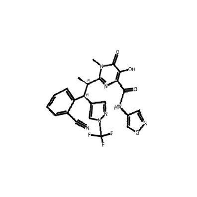 C[C@@H](c1nc(C(=O)Nc2cnoc2)c(O)c(=O)n1C)[C@@H](c1cnn(C(F)(F)F)c1)c1ccccc1C#N